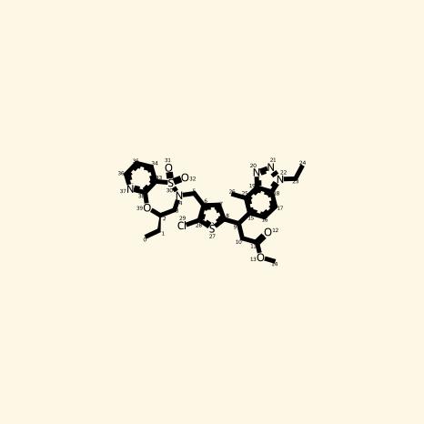 CC[C@@H]1CN(Cc2cc(C(CC(=O)OC)c3ccc4c(nnn4CC)c3C)sc2Cl)S(=O)(=O)c2cccnc2O1